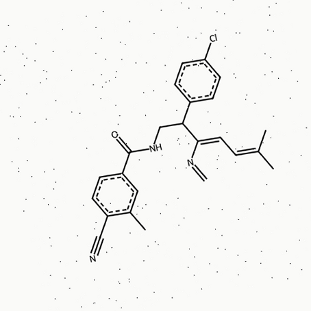 C=N/C(=C\C=C(C)C)C(CNC(=O)c1ccc(C#N)c(C)c1)c1ccc(Cl)cc1